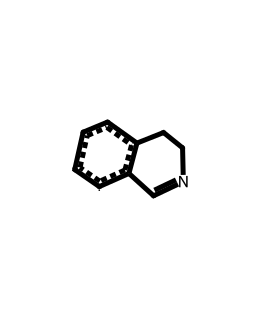 [c]1cccc2c1C=NCC2